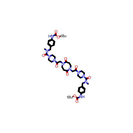 CN(Cc1ccc(NC(=O)OC(C)(C)C)cc1)C(=O)N1CCN(C(=O)CN2CCC(=O)N(CC(=O)N3CCN(C(=O)N(C)Cc4ccc(NC(=O)OC(C)(C)C)cc4)CC3)CCC2=O)CC1